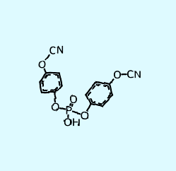 N#COc1ccc(OP(=O)(O)Oc2ccc(OC#N)cc2)cc1